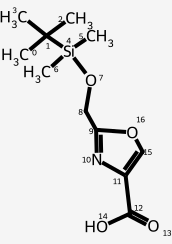 CC(C)(C)[Si](C)(C)OCc1nc(C(=O)O)co1